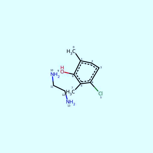 Cc1ccc(Cl)c(C)c1O.NCCN